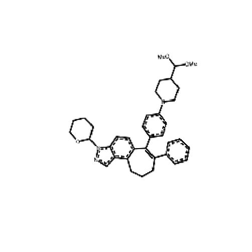 COC(OC)C1CCN(c2ccc(C3=C(c4ccccc4)CCCc4c3ccc3c4cnn3C3CCCCO3)cc2)CC1